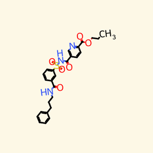 CCCOC(=O)c1ccc(C(=O)NS(=O)(=O)c2cccc(C(=O)NCCCc3ccccc3)c2)cn1